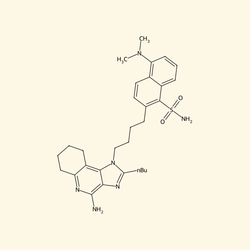 CCCCc1nc2c(N)nc3c(c2n1CCCCc1ccc2c(N(C)C)cccc2c1S(N)(=O)=O)CCCC3